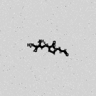 NC(=O)C(N)CSC1CCN(CCC=O)C1=O